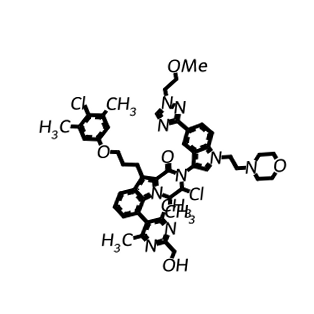 COCCn1cnc(-c2ccc3c(c2)c(N2C(=O)c4c(CCCOc5cc(C)c(Cl)c(C)c5)c5cccc(-c6c(C)nc(CO)nc6C)c5n4C(C)C2Cl)cn3CCN2CCOCC2)n1